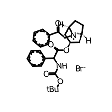 CC(C)(C)OC(=O)NC(C(=O)O[C@H]1C[C@H]2CC[C@@H](C1)[N+]2(C)CC(=O)c1ccccc1)c1ccccc1.[Br-]